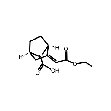 CCOC(=O)/C=C1/C[C@H]2CC[C@@H]1N2C(=O)O